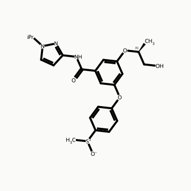 CC(C)n1ccc(NC(=O)c2cc(Oc3ccc([S+](C)[O-])cc3)cc(O[C@@H](C)CO)c2)n1